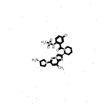 Cc1cc(N2CC[C@H](N)C2)nn2cc([C@@H]3CCCCN3C(=O)c3cc(Cl)ccc3NS(C)(=O)=O)nc12